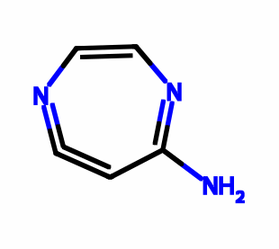 NC1=NC=CN=C=C1